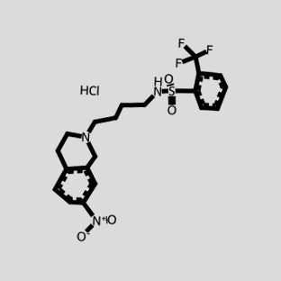 Cl.O=[N+]([O-])c1ccc2c(c1)CN(CCCCNS(=O)(=O)c1ccccc1C(F)(F)F)CC2